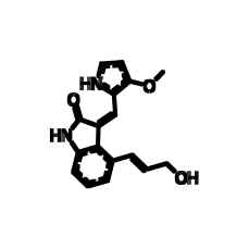 COc1cc[nH]c1/C=C1\C(=O)Nc2cccc(/C=C/CO)c21